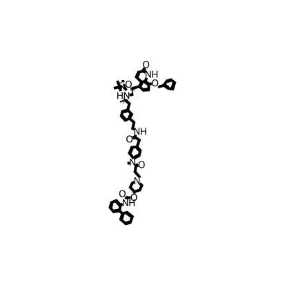 C[C@H](Cc1cccc(CCNC(=O)Cc2ccc(N(C)C(=O)CCN3CCC(OC(=O)Nc4ccccc4-c4ccccc4)CC3)cc2)c1)NC[C@@H](O[Si](C)(C)C(C)(C)C)c1ccc(OCc2ccccc2)c2[nH]c(=O)ccc12